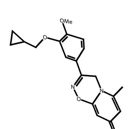 COc1ccc(C2=NOc3cc(=O)cc(C)n3C2)cc1OCC1CC1